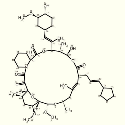 CO[C@H]1C[C@@H](C)C/C(C)=C/[C@@H](C/C=C/C2CCCC2)C(=O)C[C@H](O)[C@@H](C)[C@@H](/C(C)=C/[C@@H]2CC[C@@H](O)[C@H](OC)C2)OC(=O)[C@@H]2CCCCN2C(=O)C(=O)[C@]2(O)O[C@H]1[C@@H](OC)C[C@H]2C